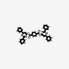 O=C(Oc1cc(-c2ccccc2)nc(-c2ccccc2)n1)C1CCC(C(=O)Oc2cc(-c3ccccc3)nc(-c3ccccc3)n2)CC1